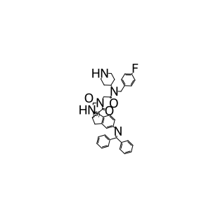 O=C1N[C@]2(CCc3cc(N=C(c4ccccc4)c4ccccc4)ccc32)C(=O)N1CC(=O)N(Cc1ccc(F)cc1)C1CCNCC1